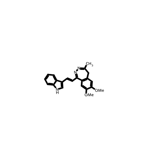 COc1cc2c(cc1OC)C(/C=C/c1c[nH]c3ccccc13)=NN=C(C)C2